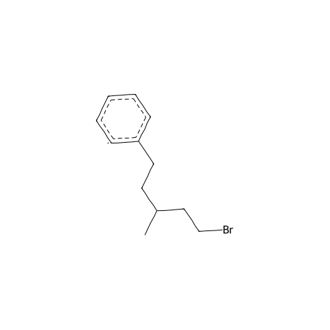 CC(CCBr)CCc1[c]cccc1